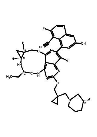 C#Cc1c(F)ccc2cc(O)cc(-c3nc4c5c(nc(OCC6(CN7CCC[C@@H](F)C7)CC6)nc5c3F)NC[C@@H](CC)N[C@H]3C[C@@H]3CO4)c12